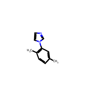 Cc1ccc(C)c(-n2ccnc2)c1